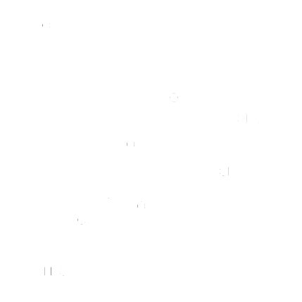 CCOC(=O)COc1cc(C=O)ccc1OCC(C)C